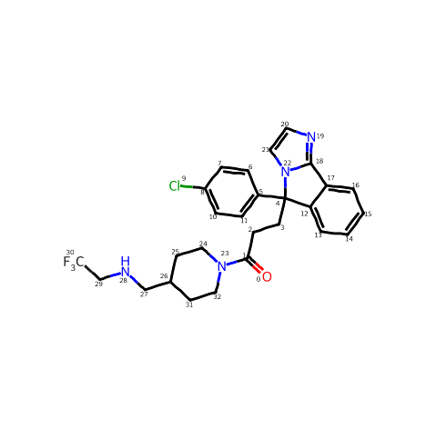 O=C(CCC1(c2ccc(Cl)cc2)c2ccccc2-c2nccn21)N1CCC(CNCC(F)(F)F)CC1